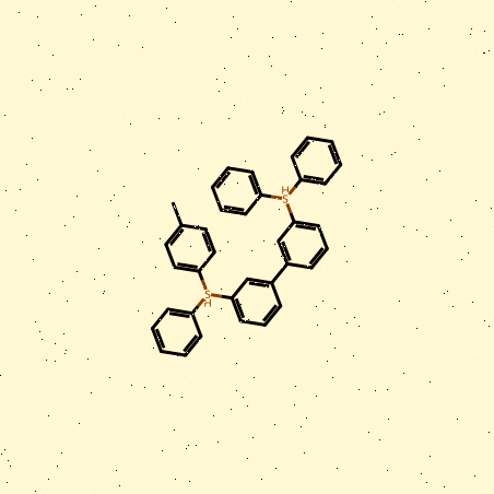 Cc1ccc([SH](c2ccccc2)c2cccc(-c3cccc([SH](c4ccccc4)c4ccccc4)c3)c2)cc1